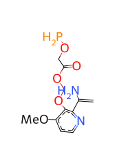 C=C(N)c1nccc(OC)c1OCOC(=O)COP